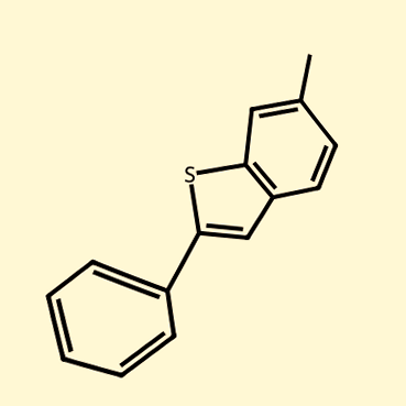 Cc1ccc2cc(-c3ccccc3)sc2c1